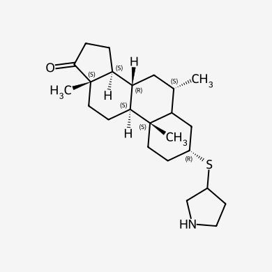 C[C@H]1C[C@@H]2[C@H](CC[C@]3(C)C(=O)CC[C@@H]23)[C@@]2(C)CC[C@@H](SC3CCNC3)CC12